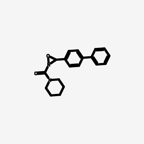 O=C(N1CCCCC1)N1OC1c1ccc(-c2ccccc2)cc1